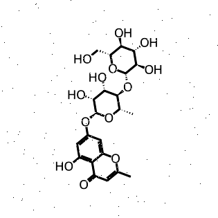 Cc1cc(=O)c2c(O)cc(O[C@@H]3O[C@@H](C)[C@H](O[C@@H]4O[C@H](CO)[C@@H](O)[C@H](O)[C@H]4O)[C@@H](O)[C@H]3O)cc2o1